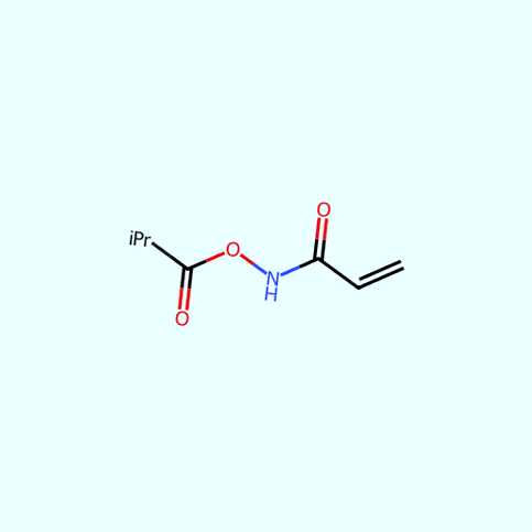 C=CC(=O)NOC(=O)C(C)C